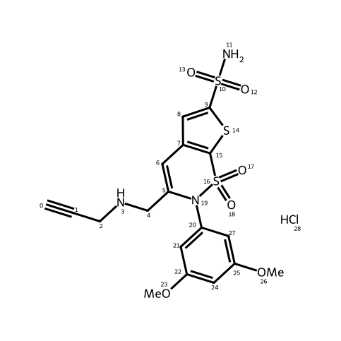 C#CCNCC1=Cc2cc(S(N)(=O)=O)sc2S(=O)(=O)N1c1cc(OC)cc(OC)c1.Cl